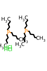 CCCCCP(CCCCC)CCCCC.CCCCCP(CCCCC)CCCCC.Cl.Cl